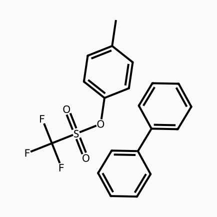 Cc1ccc(OS(=O)(=O)C(F)(F)F)cc1.c1ccc(-c2ccccc2)cc1